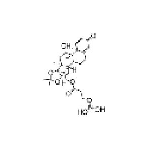 CC1(C)O[C@@H]2C[C@H]3C4CCC5=CC(=O)C=C[C@]5(C)[C@@]4(F)[C@@H](O)C[C@]3(C)[C@]2(C(=O)COC(=O)CCON(O)O)O1